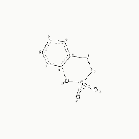 O=S1(=O)CCc2ccccc2O1